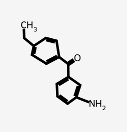 CCc1ccc(C(=O)c2cccc(N)c2)cc1